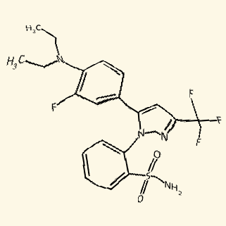 CCN(CC)c1ccc(-c2cc(C(F)(F)F)nn2-c2ccccc2S(N)(=O)=O)cc1F